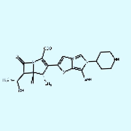 CSc1c2sc(C3=C(C(=O)[O-])N4C(=O)[C@H]([C@@H](C)O)[C@H]4[C@H]3C)c[n+]2cn1C1CCNCC1